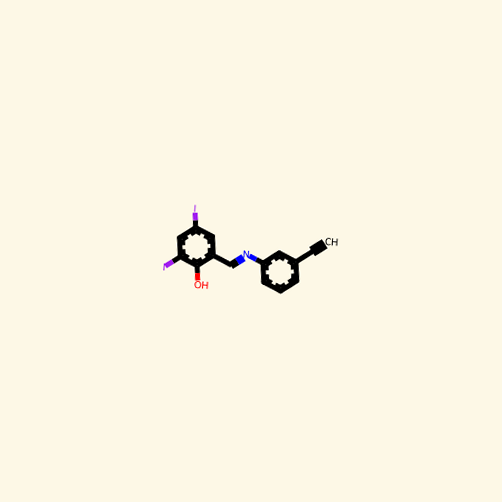 C#Cc1cccc(/N=C/c2cc(I)cc(I)c2O)c1